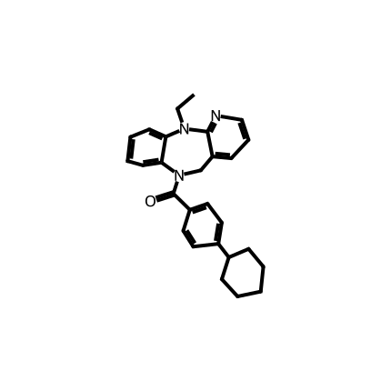 CCN1c2ccccc2N(C(=O)c2ccc(C3CCCCC3)cc2)Cc2cccnc21